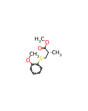 COC(=O)[C@H](C)CSc1ccccc1OC